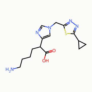 NCCCCC(C(=O)O)c1cn(Cc2nnc(C3CC3)s2)cn1